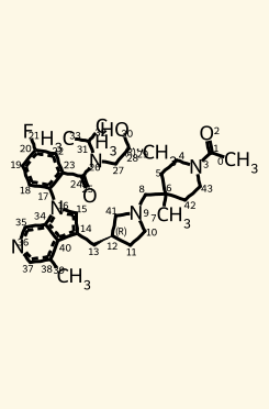 CC(=O)N1CCC(C)(CN2CC[C@@H](Cc3cn(-c4ccc(F)cc4C(=O)N(C[C@@H](C)O)C(C)C)c4cncc(C)c34)C2)CC1